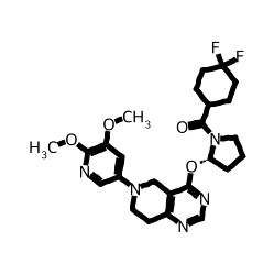 COc1cc(N2CCc3ncnc(O[C@H]4CCCN4C(=O)C4CCC(F)(F)CC4)c3C2)cnc1OC